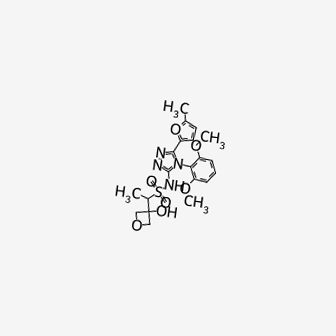 COc1cccc(OC)c1-n1c(NS(=O)(=O)C(C)C2(O)COC2)nnc1-c1ccc(C)o1